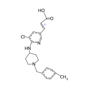 Cc1ccc(CN2CCC(Nc3ncc(/C=C/C(=O)O)cc3Cl)CC2)cc1